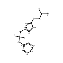 CC(C)C(C)CCc1cn(CC(C)(C)Cc2cccnc2)cn1